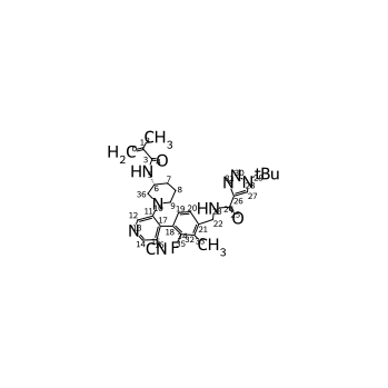 C=C(C)C(=O)N[C@@H]1CCCN(c2cncc(C#N)c2-c2ccc(CNC(=O)c3cn(C(C)(C)C)nn3)c(C)c2F)C1